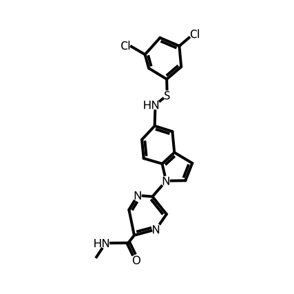 CNC(=O)c1cnc(-n2ccc3cc(NSc4cc(Cl)cc(Cl)c4)ccc32)cn1